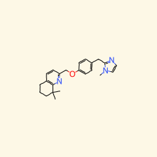 Cn1ccnc1Cc1ccc(OCc2ccc3c(n2)C(C)(C)CCC3)cc1